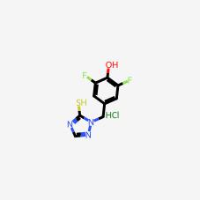 Cl.Oc1c(F)cc(Cn2ncnc2S)cc1F